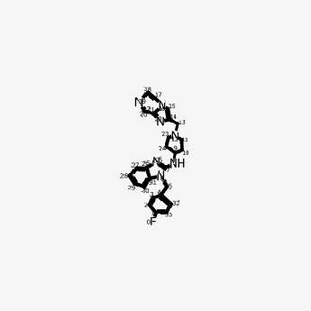 Fc1ccc(Cn2c(NC3CCN(Cc4cn5ccncc5n4)CC3)nc3ccccc32)cc1